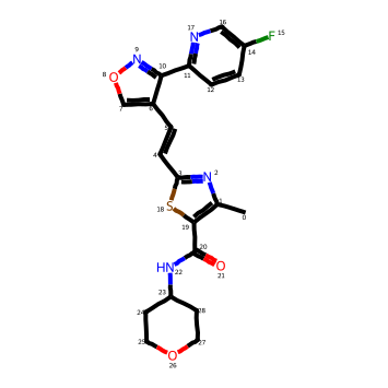 Cc1nc(/C=C/c2conc2-c2ccc(F)cn2)sc1C(=O)NC1CCOCC1